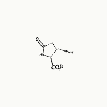 CCCCCC1CC(=O)NC1C(=O)OCC